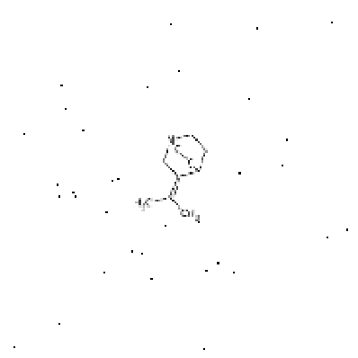 CC(C)=C1CN2CCC1CC2